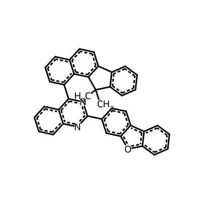 CC1(C)c2ccccc2-c2ccc3cccc(-c4nc(-c5ccc6c(c5)oc5ccccc56)nc5ccccc45)c3c21